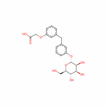 O=C(O)COc1cccc(Cc2cccc(O[C@H]3O[C@H](CO)[C@@H](O)[C@H](O)[C@@H]3O)c2)c1